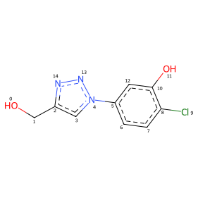 OCc1cn(-c2ccc(Cl)c(O)c2)nn1